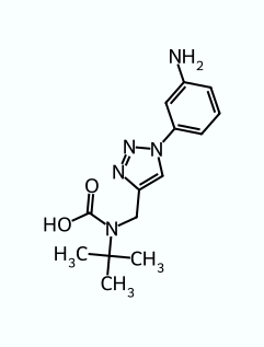 CC(C)(C)N(Cc1cn(-c2cccc(N)c2)nn1)C(=O)O